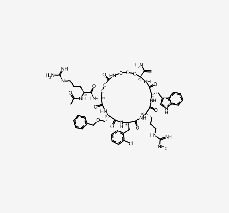 C=C(N)[C@@H]1CCCNC(=O)CC[C@H](NC(=O)[C@H](CCCNC(=N)N)NC(C)=O)C(=O)N[C@@H](COCc2ccccc2)C(=O)N[C@H](Cc2ccccc2Cl)C(=O)N[C@@H](CCCNC(=N)N)C(=O)N[C@@H](Cc2c[nH]c3ccccc23)C(=O)N1